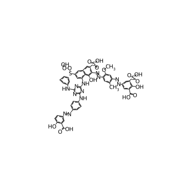 COc1cc(N=Nc2cc(C(=O)O)c(O)c(S(=O)(=O)O)c2)c(C)cc1N=Nc1c(S(=O)(=O)O)cc2cc(SOOO)cc(Nc3nc(Nc4ccccc4)nc(Nc4ccc(N=Nc5ccc(O)c(C(=O)O)c5)cc4)n3)c2c1O